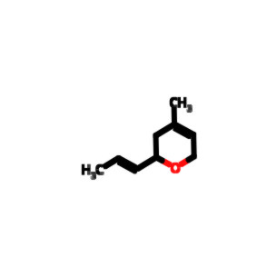 CC=CC1CC(C)=CCO1